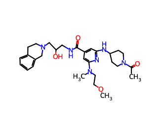 COCCN(C)c1cc(C(=O)NCC(O)CN2CCc3ccccc3C2)cc(NC2CCN(C(C)=O)CC2)n1